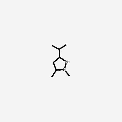 CC(C)C1CC(C)N(C)N1